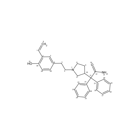 C=Cc1cc(CCN2CCC(C(C(N)=O)(c3ccccc3)c3ccccc3)C2)ccc1O